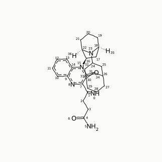 N=C(CCC(N)=O)c1nc2ccccc2n([C@@H]2C[C@@H]3CCC[C@H]2N3C2CC3CCCC(C3)C2)c1=O